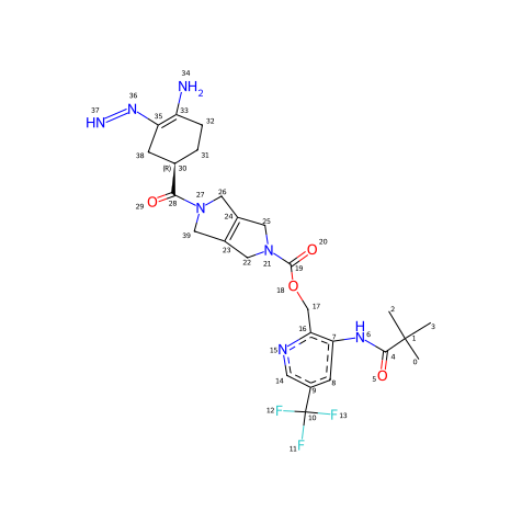 CC(C)(C)C(=O)Nc1cc(C(F)(F)F)cnc1COC(=O)N1CC2=C(C1)CN(C(=O)[C@@H]1CCC(N)=C(N=N)C1)C2